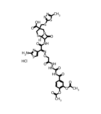 CC(=O)Oc1ccc(C(=O)NC(=O)NNC(=O)CON=C(C(=O)NC2C(=O)N3CC(CSc4nnc(C)s4)(C(=O)O)CS[C@H]23)c2csc(N)n2)cc1OC(C)=O.Cl